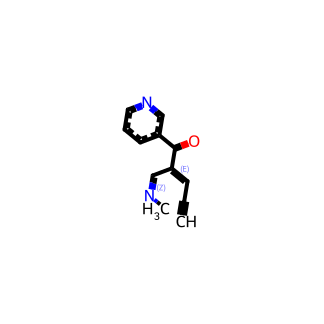 C#C/C=C(\C=N/C)C(=O)c1cccnc1